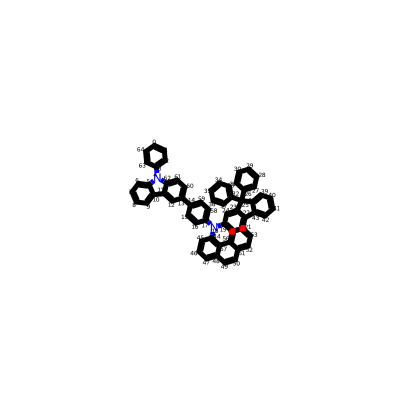 c1ccc(-n2c3ccccc3c3cc(-c4ccc(N(c5ccc6c(c5)C(c5ccccc5)(c5ccccc5)c5ccccc5-6)c5cccc6ccc7ccccc7c56)cc4)ccc32)cc1